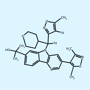 [2H]c1c(C([2H])(C2CCOCC2)n2c3cc(C(C)(C)O)ccc3c3ncc(-c4c(C)noc4C)cc32)noc1C